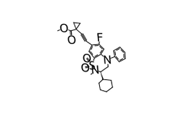 COC(=O)C1(C#Cc2cc3c(cc2F)N(c2ccccc2)C[C@@H](C2CCCCC2)N(C)S3(=O)=O)CC1